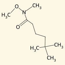 CON(C)C(=O)CCCC(C)(C)C